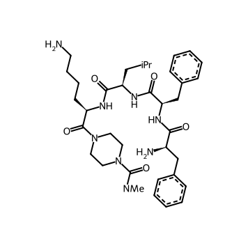 CNC(=O)N1CCN(C(=O)[C@@H](CCCCN)NC(=O)[C@@H](CC(C)C)NC(=O)[C@@H](Cc2ccccc2)NC(=O)[C@H](N)Cc2ccccc2)CC1